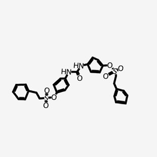 O=C(Nc1ccc(OS(=O)(=O)CCc2ccccc2)cc1)Nc1ccc(OS(=O)(=O)CCc2ccccc2)cc1